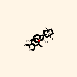 Cc1c([C@@H](O)CN2[C@@H]3CC[C@H]2CN(c2ccc(C#N)cn2)C3)ccc2c1COC2=O